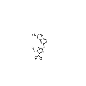 COC(=O)c1nn(Cc2ccc3ncc(Cl)cc3c2)nc1C=O